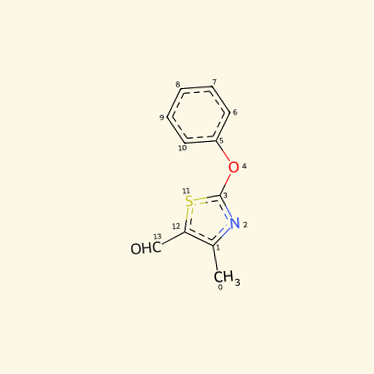 Cc1nc(Oc2ccccc2)sc1C=O